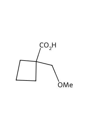 COCC1(C(=O)O)CCC1